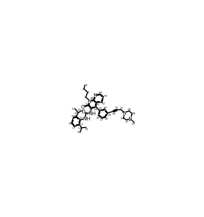 CCCCn1c(=O)c(NC(=O)Nc2c(C(C)C)cccc2C(C)C)c(-c2cccc(C#CCN3CCN(C)CC3)c2)c2cccnc21